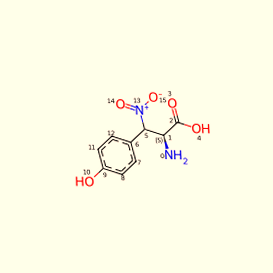 N[C@H](C(=O)O)C(c1ccc(O)cc1)[N+](=O)[O-]